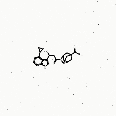 CC(CC(=O)N1C2CC3CC(C(N)=O)(C2)CC31)c1c[nH]c2cccc(C3CC3)c12